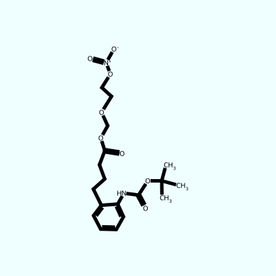 CC(C)(C)OC(=O)Nc1ccccc1CCCC(=O)OCOCCO[N+](=O)[O-]